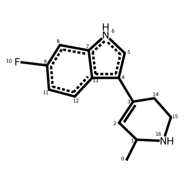 CC1C=C(c2c[nH]c3cc(F)ccc23)CCN1